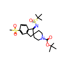 CC(C)(C)OC(=O)N1CCC2(CC1)Cc1cc(S(C)(=O)=O)ccc1C2=N[S@+]([O-])C(C)(C)C